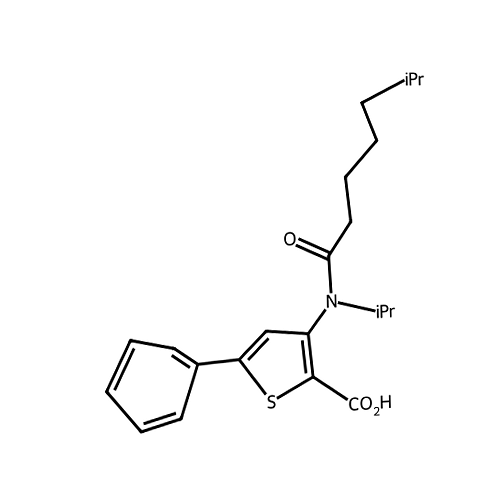 CC(C)CCCCC(=O)N(c1cc(-c2ccccc2)sc1C(=O)O)C(C)C